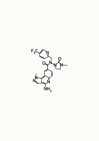 CN1CCN(N(Cc2ccc(C(F)(F)F)cn2)C(=O)c2ccc3nc(N)c4cnn(C)c4c3c2)C1=O